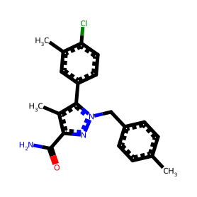 Cc1ccc(Cn2nc(C(N)=O)c(C)c2-c2ccc(Cl)c(C)c2)cc1